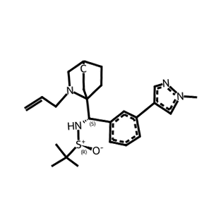 C=CCN1CC2CCC1([C@@H](N[S@@+]([O-])C(C)(C)C)c1cccc(-c3cnn(C)c3)c1)CC2